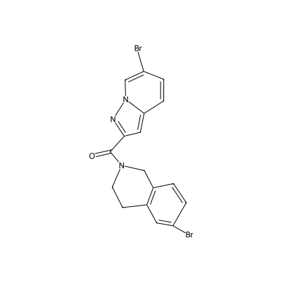 O=C(c1cc2ccc(Br)cn2n1)N1CCc2cc(Br)ccc2C1